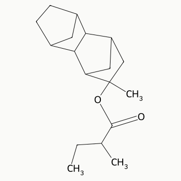 CCC(C)C(=O)OC1(C)CC2CC1C1C3CCC(C3)C21